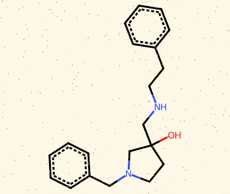 OC1(CNCCc2ccccc2)CCN(Cc2ccccc2)C1